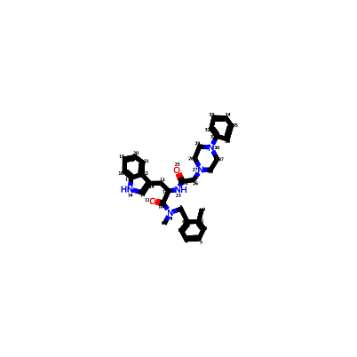 Cc1ccccc1CN(C)C(=O)C(Cc1c[nH]c2ccccc12)NC(=O)CN1CCN(c2ccccc2)CC1